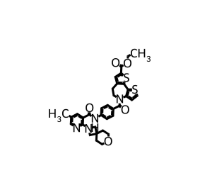 CCOC(=O)c1cc2c(s1)-c1sccc1N(C(=O)c1ccc(NC(=O)c3cc(C)cnc3N3CC4(CCOCC4)C3)cc1)CC2